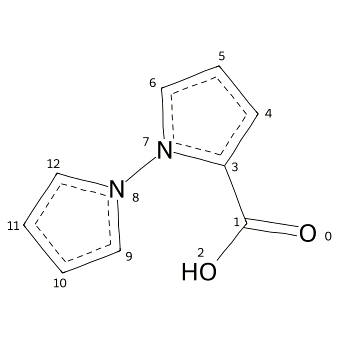 O=C(O)c1cccn1-n1cccc1